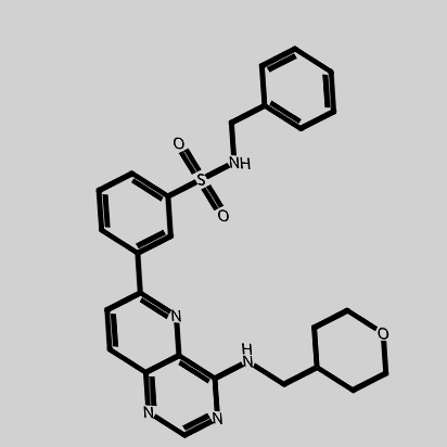 O=S(=O)(NCc1ccccc1)c1cccc(-c2ccc3ncnc(NCC4CCOCC4)c3n2)c1